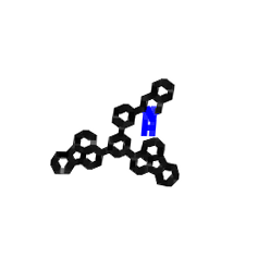 C1=C(c2cccc(-c3cc(-c4ccc5c6c(cccc46)-c4ccccc4-5)cc(-c4ccc5c6c(cccc46)-c4ccccc4-5)c3)c2)NCc2ccccc21